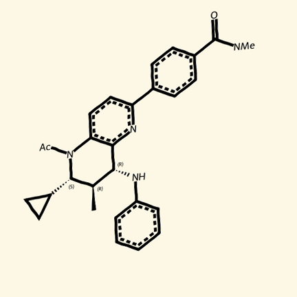 CNC(=O)c1ccc(-c2ccc3c(n2)[C@H](Nc2ccccc2)[C@@H](C)[C@H](C2CC2)N3C(C)=O)cc1